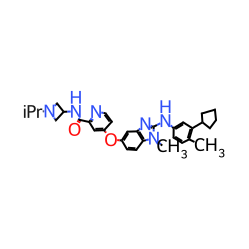 Cc1ccc(Nc2nc3cc(Oc4ccnc(C(=O)NC5CN(C(C)C)C5)c4)ccc3n2C)cc1C1CCCC1